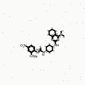 COc1cc([N+](=O)[O-])ccc1NC(=S)N[C@H]1CC[C@@H](Nc2nc3c(c(N(C)C)n2)CCCC3)CC1